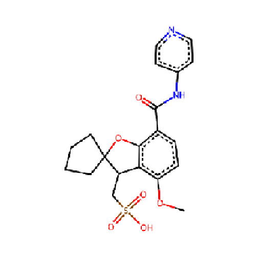 COc1ccc(C(=O)Nc2ccncc2)c2c1C(CS(=O)(=O)O)C1(CCCC1)O2